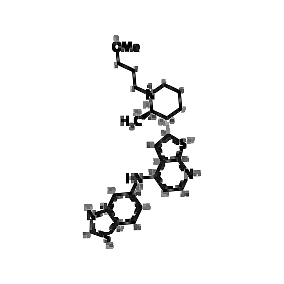 COCCCN1CCC[C@H](c2cc3c(Nc4ccc5scnc5c4)ccnc3s2)[C@H]1C